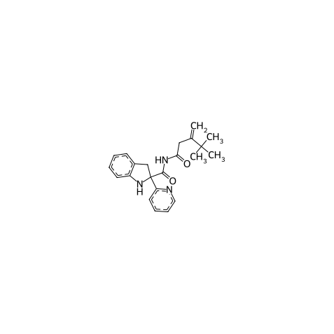 C=C(CC(=O)NC(=O)C1(c2ccccn2)Cc2ccccc2N1)C(C)(C)C